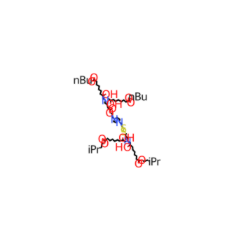 CCCCOC(=O)CCCCCCC(O)CN(CCCC(=O)OCCN1CCN(CCSSCCCN(CC(O)CCCCCCC(=O)OCCC(C)C)CC(O)CCCCCCC(=O)OCCC(C)C)CC1)CC(O)CCCCCCC(=O)OCCCC